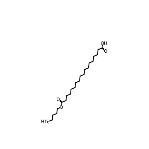 O=C(O)CCCCCCCCCCCCCCCCC(=O)OCCCC[TeH]